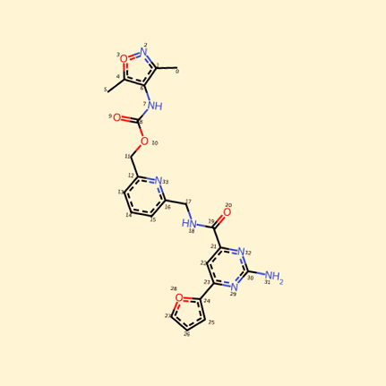 Cc1noc(C)c1NC(=O)OCc1cccc(CNC(=O)c2cc(-c3ccco3)nc(N)n2)n1